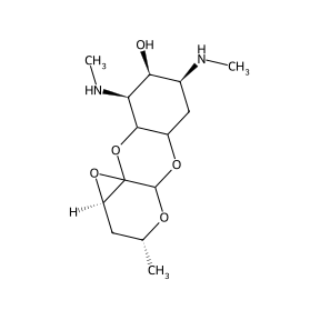 CN[C@H]1CC2OC3O[C@H](C)C[C@H]4OC34OC2[C@@H](NC)[C@H]1O